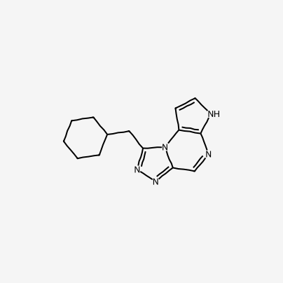 c1cc2c(ncc3nnc(CC4CCCCC4)n32)[nH]1